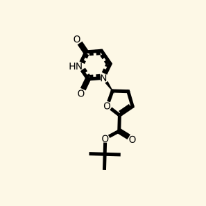 CC(C)(C)OC(=O)C1=CC[C@H](n2ccc(=O)[nH]c2=O)O1